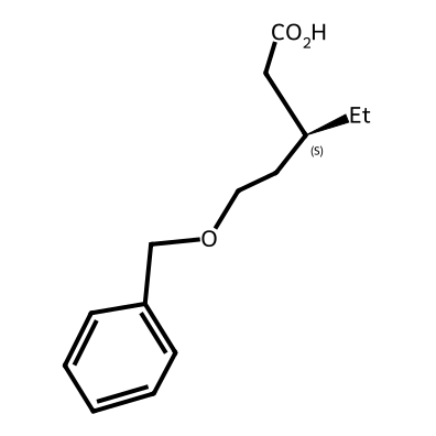 CC[C@@H](CCOCc1ccccc1)CC(=O)O